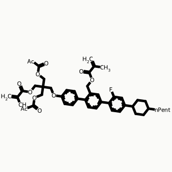 C=C(C)C(=O)OCc1cc(-c2ccc(C3CCC(CCCCC)CC3)cc2F)ccc1-c1ccc(OCC(COC(=O)C(=C)C)(COC(=O)C(C)=O)COC(=O)C(C)=O)cc1